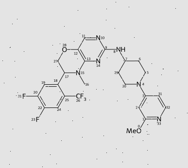 COc1cc(N2CCC(Nc3ncc4c(n3)N(C)C(c3cc(F)c(F)cc3C(F)(F)F)CO4)CC2)ccn1